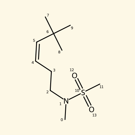 CN(CC/C=C\C(C)(C)C)S(C)(=O)=O